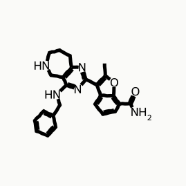 Cc1oc2c(C(N)=O)cccc2c1-c1nc2c(c(NCc3ccccc3)n1)CNCCC2